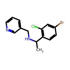 CC(NCc1cccnc1)c1ccc(Br)cc1Cl